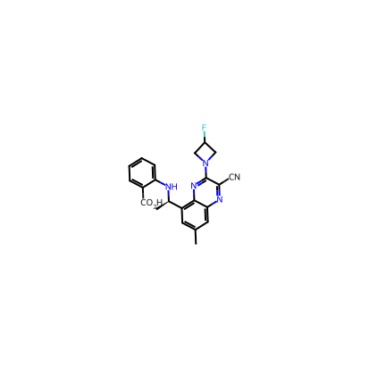 Cc1cc([C@@H](C)Nc2ccccc2C(=O)O)c2nc(N3CC(F)C3)c(C#N)nc2c1